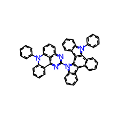 c1ccc(N2c3ccccc3-c3nc(-n4c5ccccc5c5c6ccccc6c6c(c7ccccc7n6-c6ccccc6)c54)nc4cccc2c34)cc1